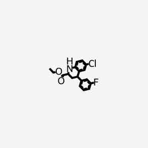 CCOC(=O)C1CC(c2cccc(F)c2)c2cc(Cl)ccc2N1